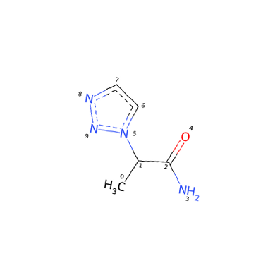 CC(C(N)=O)n1ccnn1